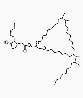 CC/C=C\C[C@H]1C(O)CCC1CC(=O)OCC(COCCCCCCCCC(C)C(C)CCCCCCCC)OCCCCCCCCC(C)C(C)CCCCCCCC